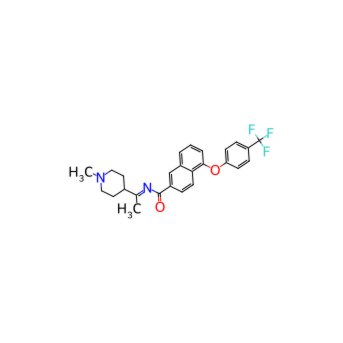 C/C(=N\C(=O)c1ccc2c(Oc3ccc(C(F)(F)F)cc3)cccc2c1)C1CCN(C)CC1